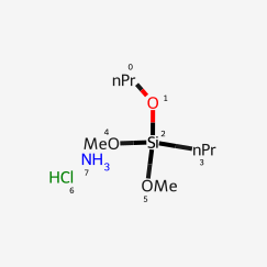 CCCO[Si](CCC)(OC)OC.Cl.N